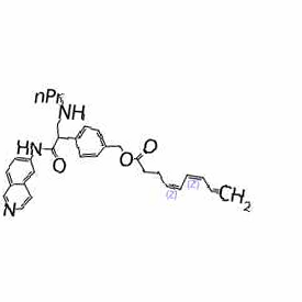 C=C/C=C\C=C/CCC(=O)OCc1ccc(C(CNCCC)C(=O)Nc2ccc3cnccc3c2)cc1